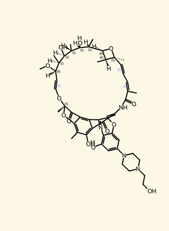 CO[C@H]1/C=C/O[C@@]2(C)Oc3c(C)c(O)c4c(=O)c(c5oc6cc(N7CCN(CCO)CC7)cc(O)c6nc-5c4c3C2=O)NC(=O)/C(C)=C\C=C\[C@]2(C)O[C@H]([C@@H](C)[C@@H](O)[C@@H](C)[C@H](O)[C@@H]1C)[C@H]2C